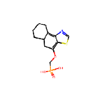 O=P(O)(O)COC1=c2scnc2=C2CCCCC2C1